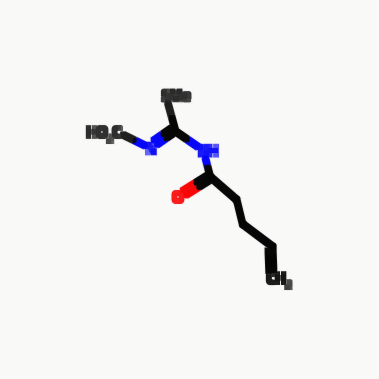 C=CCCC(=O)N/C(=N/C(=O)O)SC